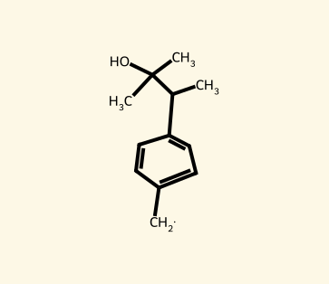 [CH2]c1ccc(C(C)C(C)(C)O)cc1